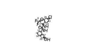 C[C@@]1(C(F)F)C[C@@H](NC(=O)Nc2cccc3c2C[C@H](O)C3)c2ccc(Cl)cc2O1